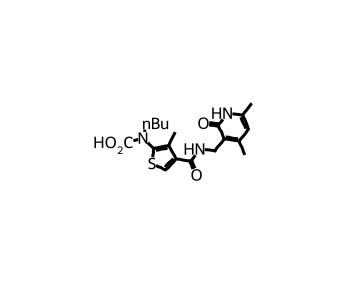 CCCCN(C(=O)O)c1scc(C(=O)NCc2c(C)cc(C)[nH]c2=O)c1C